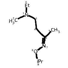 CCN(C)CC/C(C)=N\OC(C)C